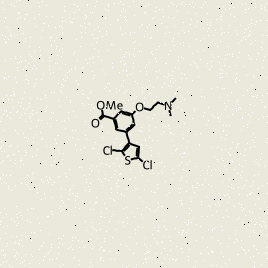 COC(=O)c1cc(OCCN(C)C)cc(-c2cc(Cl)sc2Cl)c1